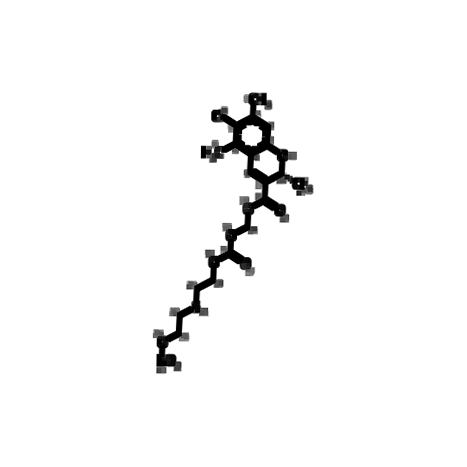 Cc1cc2c(c(C)c1Cl)C=C(C(=O)OCOC(=O)OCCSCCO[N+](=O)[O-])[C@@H](C(F)(F)F)O2